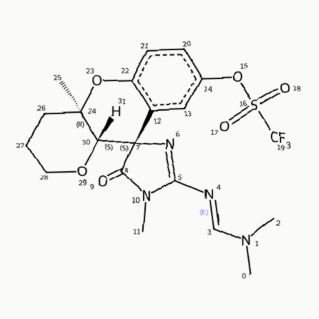 CN(C)/C=N/C1=N[C@@]2(C(=O)N1C)c1cc(OS(=O)(=O)C(F)(F)F)ccc1O[C@]1(C)CCCO[C@H]12